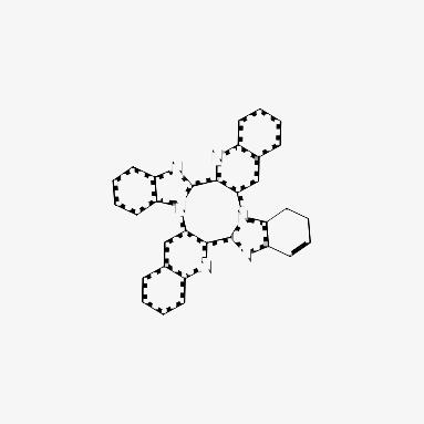 C1=Cc2nc3c4nc5ccccc5cc4n4c5ccccc5nc4c4nc5ccccc5cc4n3c2CC1